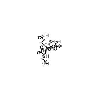 O=C(O)CCC(=O)ON1C(=O)CCC1=O.O=C(O)CS.O=C(O)CS.OCCO